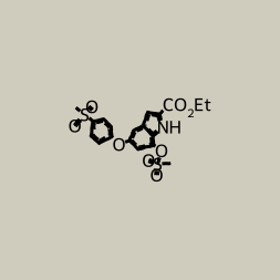 CCOC(=O)c1cc2cc(Oc3ccc(S(C)(=O)=O)cc3)cc(OS(C)(=O)=O)c2[nH]1